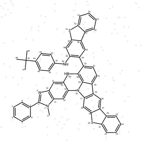 Cn1c(-c2ccccc2)nc2cc3c(cc21)-n1c2cc4sc5ccccc5c4cc2c2ccc(-c4cc5c(cc4Nc4ccc(C(C)(C)C)cc4)sc4ccccc45)c(c21)B3